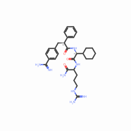 N=C(N)NCCCC(NC(=O)[C@@H](NC(=O)[C@@H](Cc1ccc(C(=N)N)cc1)c1ccccc1)C1CCCCC1)C(N)=O